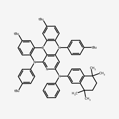 CC(C)(C)c1ccc(N2c3ccc(C(C)(C)C)cc3B3c4cc(C(C)(C)C)ccc4N(c4ccc(C(C)(C)C)cc4)c4nc(N(c5ccccc5)c5ccc6c(c5)C(C)(C)CCC6(C)C)cc2c43)cc1